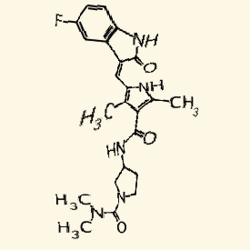 Cc1[nH]c(/C=C2\C(=O)Nc3ccc(F)cc32)c(C)c1C(=O)NC1CCN(C(=O)N(C)C)C1